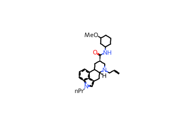 C=CCN1C[C@H](C(=O)NC2CCCC(OC)C2)CC2c3cccc4c3c(cn4CCC)C[C@H]21